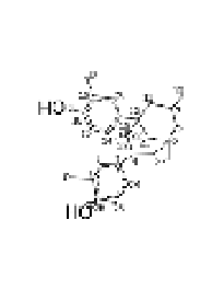 Cc1cc(C2CC3(C)CC(C)CC(c4ccc(O)c(C)c4)(C3)[C@H]2C)ccc1O